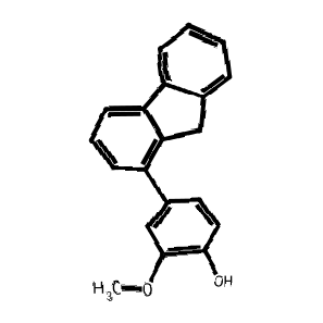 COc1cc(-c2cccc3c2Cc2ccccc2-3)ccc1O